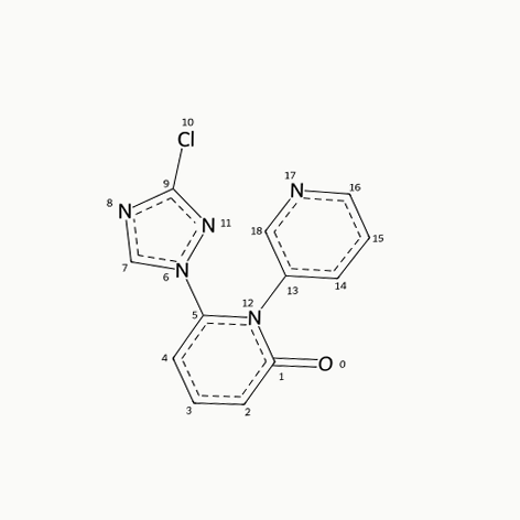 O=c1cccc(-n2cnc(Cl)n2)n1-c1cccnc1